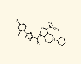 CN(C)C(=O)C1CN(C2CCCCC2)CCC1NC(=O)c1noc(-c2ccc(F)cc2F)n1